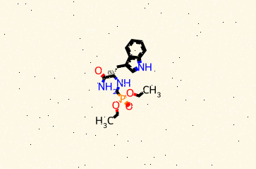 CCOP(=O)(CN[C@@H](Cc1c[nH]c2ccccc12)C(N)=O)OCC